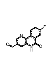 O=Cc1cnc2c(c1)[nH]c(=O)c1cc(F)ccc12